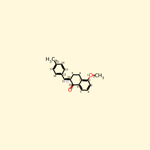 COc1cccc2c1CC/C(=C\c1ccc(C)cc1)C2=O